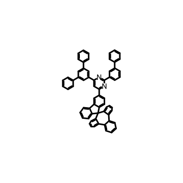 c1ccc(-c2cc(-c3ccccc3)cc(-c3cc(-c4ccc5c(c4)-c4ccccc4C54c5ccccc5-c5ccccc5-c5ccccc54)nc(-c4cccc(-c5ccccc5)c4)n3)c2)cc1